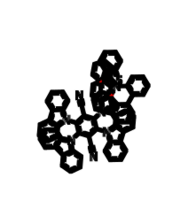 N#Cc1c(-n2c3ccccc3c3ccccc32)c(-n2c3ccccc3c3ccccc32)c(C#N)c(-n2c3cccc(-c4ccccc4-n4c5ccccc5c5ccccc54)c3c3c4sc5ccccc5c4ccc32)c1-n1c2ccccc2c2ccccc21